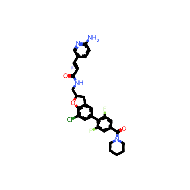 Nc1ccc(/C=C/C(=O)NCC2Cc3cc(-c4c(F)cc(C(=O)N5CCCCC5)cc4F)cc(Cl)c3O2)cn1